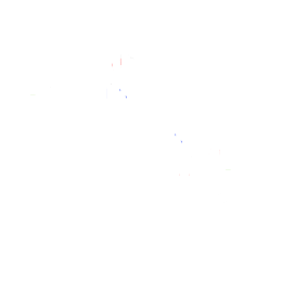 Cc1cccc(OC(=O)N2CCC(C(CC(C)C)NC(=O)c3ccc(F)cc3)CC2)c1F